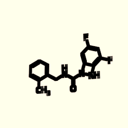 Cc1ccccc1CNC(=O)n1[nH]c2c(F)cc(F)cc21